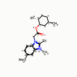 CCc1n(CC(=O)O[C@@H]2C[C@H](C)CC[C@H]2C(C)C)c2ccc(OC)cc2[n+]1C